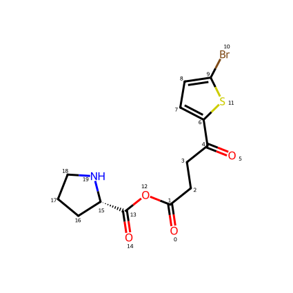 O=C(CCC(=O)c1ccc(Br)s1)OC(=O)[C@@H]1CCCN1